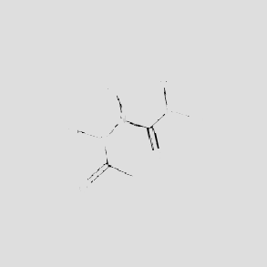 [2H]N([2H])C(=O)N([2H])N([2H])C(C)=O